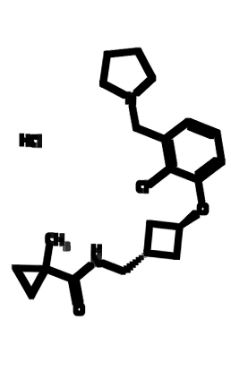 CC1(C(=O)NC[C@H]2C[C@H](Oc3cccc(CN4CCCC4)c3Cl)C2)CC1.Cl